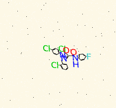 O=C(Nc1ccc(F)cc1)c1cn(Cc2ccccc2Cl)n(-c2ccc(Cl)cc2Cl)c1=O